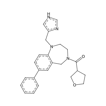 O=C(C1CCOC1)N1CCN(Cc2c[nH]cn2)c2ccc(-c3ccccc3)cc2C1